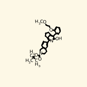 COCCOc1ccccc1-c1c(O)nc(-c2ccc3c(c2)CCN(C(=O)OC(C)(C)C)C3)c2c1CCC2